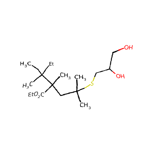 CCOC(=O)C(C)(CC(C)(C)SCC(O)CO)C(C)(C)CC